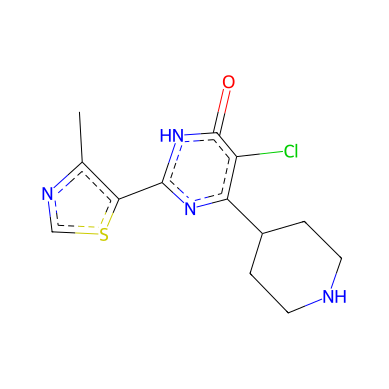 Cc1ncsc1-c1nc(C2CCNCC2)c(Cl)c(=O)[nH]1